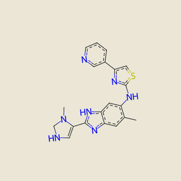 Cc1cc2nc(C3=CNCN3C)[nH]c2cc1Nc1nc(-c2cccnc2)cs1